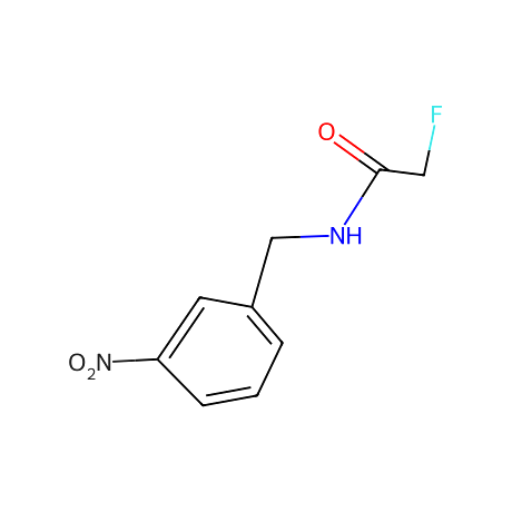 O=C(CF)NCc1cccc([N+](=O)[O-])c1